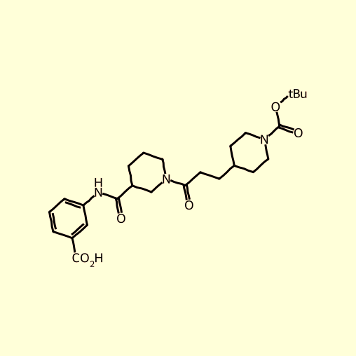 CC(C)(C)OC(=O)N1CCC(CCC(=O)N2CCCC(C(=O)Nc3cccc(C(=O)O)c3)C2)CC1